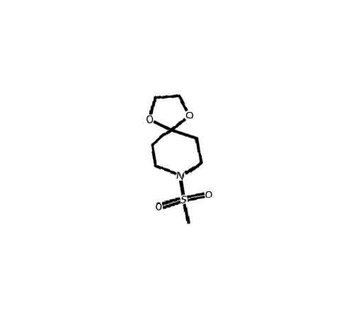 CS(=O)(=O)N1CCC2(CC1)OCCO2